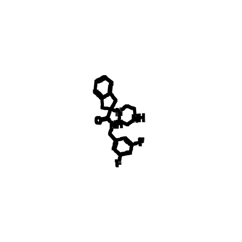 O=C(NCc1cc(F)cc(F)c1)C1(N2CCNCC2)Cc2ccccc2C1